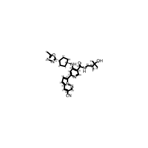 Cc1nnc([C@H]2CC[C@H](Nc3cc(-c4ccc5cc(C#N)cnn45)ncc3C(=O)NC[C@@H](F)C(C)(C)O)CC2)o1